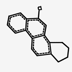 Clc1cc2c3c(ccc2c2ccccc12)CCCC3